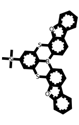 C[Si](C)(C)c1cc2c3c(c1)Sc1c(ccc4c1oc1ccccc14)B3c1ccc3c(oc4ccccc43)c1S2